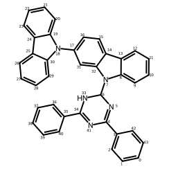 c1ccc(C2=NC(n3c4ccccc4c4ccc(-n5c6ccccc6c6ccccc65)cc43)NC(c3ccccc3)=N2)cc1